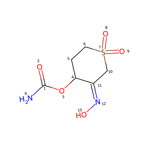 NC(=O)OC1CCS(=O)(=O)CC1=NO